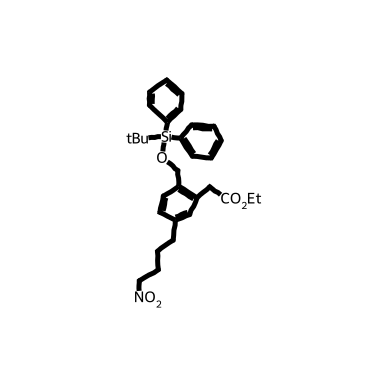 CCOC(=O)Cc1cc(CCCC[N+](=O)[O-])ccc1CO[Si](c1ccccc1)(c1ccccc1)C(C)(C)C